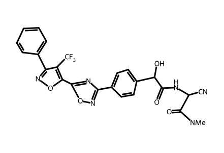 CNC(=O)C(C#N)NC(=O)C(O)c1ccc(-c2noc(-c3onc(-c4ccccc4)c3C(F)(F)F)n2)cc1